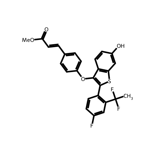 COC(=O)/C=C/c1ccc(Oc2c(-c3ccc(F)cc3C(C)(F)F)sc3cc(O)ccc23)cc1